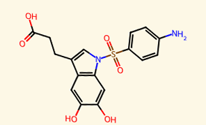 Nc1ccc(S(=O)(=O)n2cc(CCC(=O)O)c3cc(O)c(O)cc32)cc1